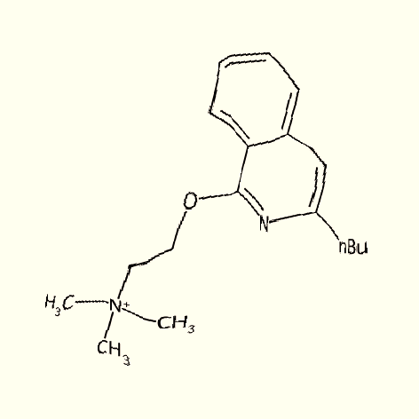 CCCCc1cc2ccccc2c(OCC[N+](C)(C)C)n1